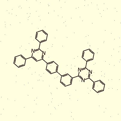 c1ccc(-c2cc(-c3ccc(-c4cccc(-c5nc(-c6ccccc6)nc(-c6ccccc6)n5)c4)cc3)nc(-c3ccccc3)n2)cc1